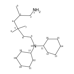 CC(CN)CC(C)(C)CCN(C1CCCCC1)C1CCCCC1